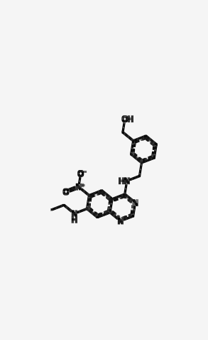 CCNc1cc2ncnc(NCc3cccc(CO)c3)c2cc1[N+](=O)[O-]